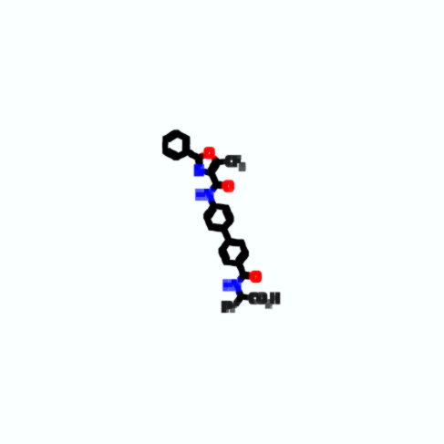 CC(C)C(NC(=O)c1ccc(-c2ccc(NC(=O)c3nc(-c4ccccc4)oc3C(F)(F)F)cc2)cc1)C(=O)O